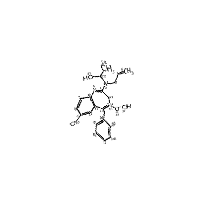 C=CCN(C1=Nc2ccc(Cl)cc2C(c2ccccc2)=[N+]([O-])C1)C(C)O.Cl